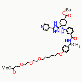 COC(=O)CCOCCOCCOCCCCCCOc1ccc([C@@H](C)NC(=O)c2cccc(NC3(c4nnc(-c5ccncc5)[nH]4)CCC(C(=O)OC(C)(C)C)CC3)c2)cc1